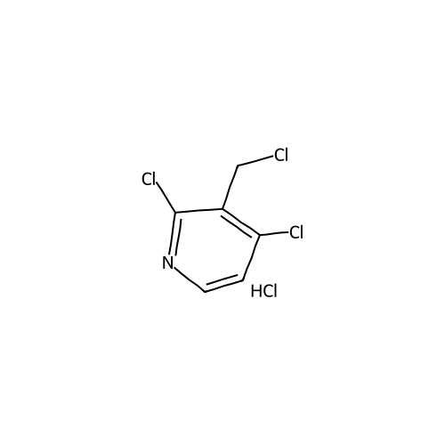 Cl.ClCc1c(Cl)ccnc1Cl